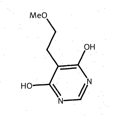 COCCc1c(O)ncnc1O